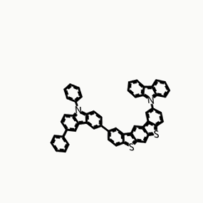 c1ccc(-c2ccc3c(c2)c2cc(-c4ccc5sc6cc7sc8ccc(-n9c%10ccccc%10c%10ccccc%109)cc8c7cc6c5c4)ccc2n3-c2ccccc2)cc1